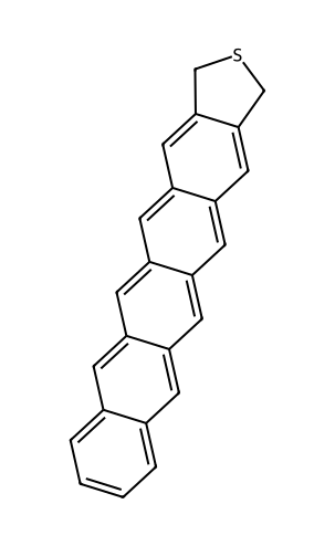 c1ccc2cc3cc4cc5cc6c(cc5cc4cc3cc2c1)CSC6